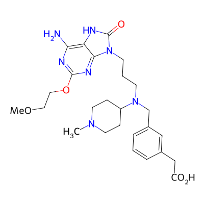 COCCOc1nc(N)c2[nH]c(=O)n(CCCN(Cc3cccc(CC(=O)O)c3)C3CCN(C)CC3)c2n1